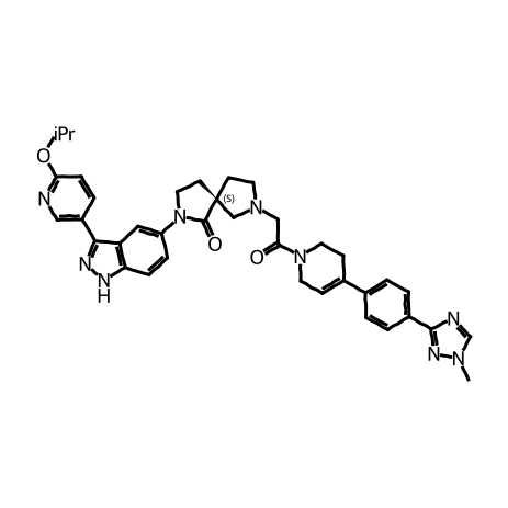 CC(C)Oc1ccc(-c2n[nH]c3ccc(N4CC[C@]5(CCN(CC(=O)N6CC=C(c7ccc(-c8ncn(C)n8)cc7)CC6)C5)C4=O)cc23)cn1